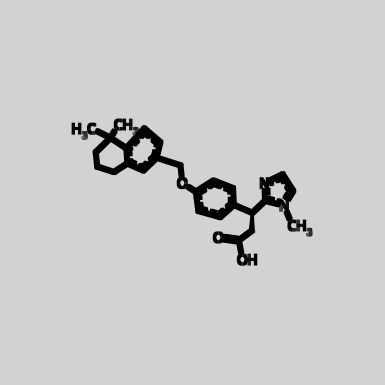 Cn1ccnc1[C@@H](CC(=O)O)c1ccc(OCc2ccc3c(c2)CCCC3(C)C)cc1